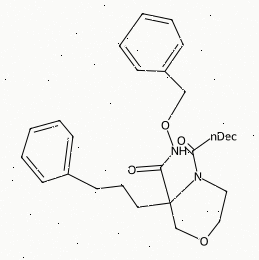 CCCCCCCCCCC(=O)N1CCOCC1(CCCc1ccccc1)C(=O)NOCc1ccccc1